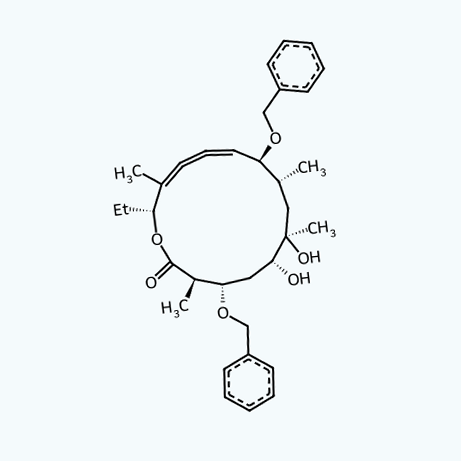 CC[C@H]1OC(=O)[C@H](C)[C@@H](OCc2ccccc2)C[C@@H](O)[C@](C)(O)C[C@@H](C)[C@H](OCc2ccccc2)C=C=C=C1C